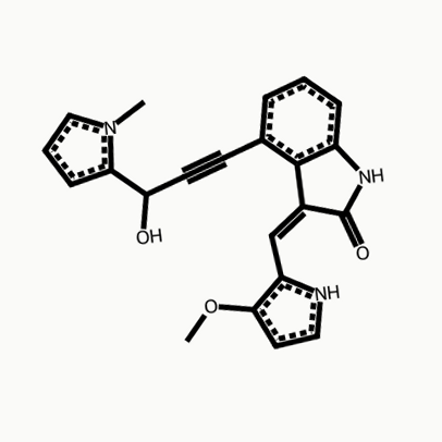 COc1cc[nH]c1C=C1C(=O)Nc2cccc(C#CC(O)c3cccn3C)c21